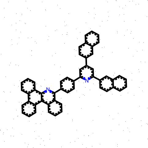 c1ccc2cc(-c3cc(-c4ccc(-c5nc6c7ccccc7c7ccccc7c6c6ccccc56)cc4)nc(-c4ccc5ccccc5c4)c3)ccc2c1